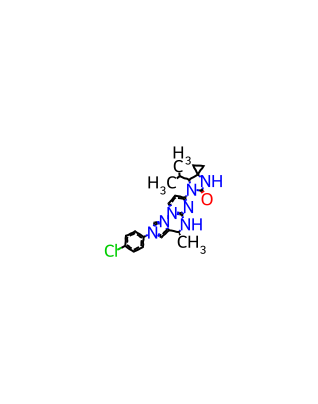 CC(C)C1N(c2ccnc(N[C@@H](C)c3cn(-c4ccc(Cl)cc4)cn3)n2)C(=O)NC12CC2